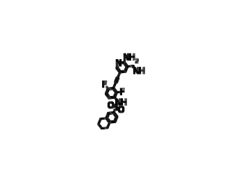 N=Cc1cc(C#Cc2c(F)ccc(NS(=O)(=O)c3ccc4c(c3)CCCC4)c2F)cnc1N